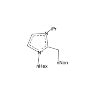 CCCCCCCCCCc1n(C(C)C)cc[n+]1CCCCCC